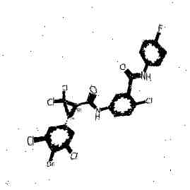 O=C(Nc1ccc(F)cc1)c1cc(NC(=O)[C@H]2[C@H](c3cc(Cl)c(Br)c(Cl)c3)C2(Cl)Cl)ccc1Cl